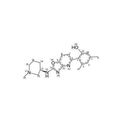 Cc1cc(C)c(-c2ccc3oc(N[C@@H]4CCCN(C)C4)nc3n2)c(O)c1